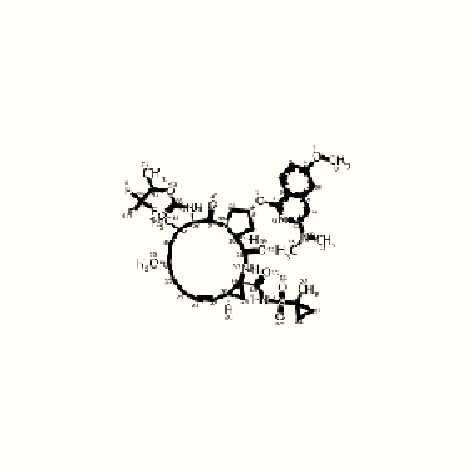 COc1ccc2c(O[C@@H]3C[C@H]4C(=O)N[C@]5(C(=O)NS(=O)(=O)C6(C)CC6)C[C@H]5/C=C\CC[C@H](C)C[C@@H](C)[C@H](NC(=O)O[C@H](C)C(F)(F)F)C(=O)N4C3)nc(N(C)C)cc2c1